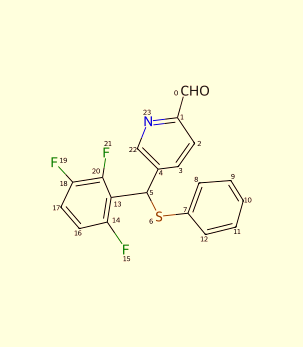 O=Cc1ccc(C(Sc2ccccc2)c2c(F)ccc(F)c2F)cn1